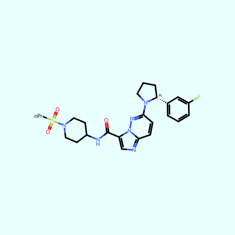 CCCS(=O)(=O)N1CCC(NC(=O)c2cnc3ccc(N4CCC[C@@H]4c4cccc(F)c4)nn23)CC1